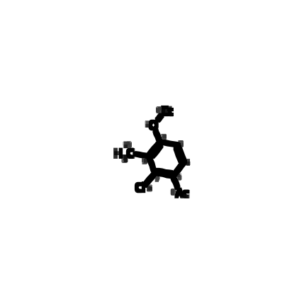 CCOc1ccc(C(C)=O)c(Cl)c1C